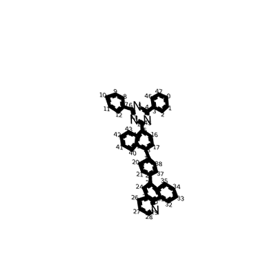 c1ccc(-c2nc(-c3ccccc3)nc(-c3ccc(-c4ccc(-c5cc6cccnc6c6ccccc56)cc4)c4ccccc34)n2)cc1